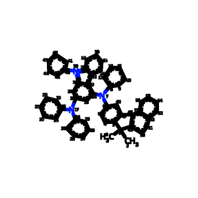 CC1(C)c2ccc(N(c3ccccc3)c3cc(N(c4ccccc4)c4ccccc4)cc4c3c3ccccc3n4-c3ccccc3)cc2-c2c1ccc1ccccc21